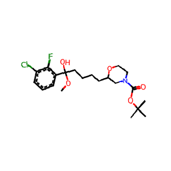 COC(O)(CCCCC1CN(C(=O)OC(C)(C)C)CCO1)c1cccc(Cl)c1F